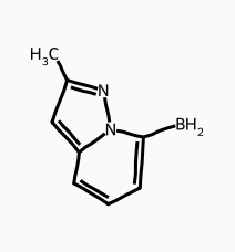 Bc1cccc2cc(C)nn12